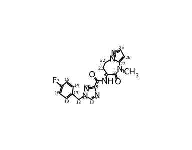 CN1C(=O)C(NC(=O)c2ncn(Cc3ccc(F)cc3)n2)CCn2nccc21